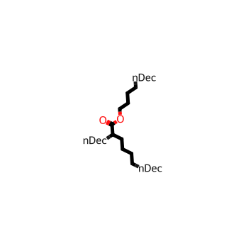 CCCCCCCCCCCCCCOC(=O)C(CCCCCCCCCC)CCCCCCCCCCCCCC